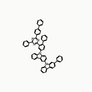 c1ccc(-c2ccc(-c3nc(-c4ccccc4)nc(-c4cc(-n5c6ccccc6c6cc(-n7c8ccccc8c8ccc(-c9ccccc9)cc87)ccc65)ccc4-c4ccccc4)n3)cc2)cc1